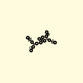 c1ccc2nc(-c3ccc(N(C4=CCC(c5ccc6c(c5)C(c5ccccc5)(c5ccccc5)c5cc(N(c7ccc(-c8nc9ccccc9s8)cc7)c7ccc8c(c7)oc7ccccc78)ccc5-6)C=C4)c4ccc5c(c4)oc4ccccc45)cc3)sc2c#1